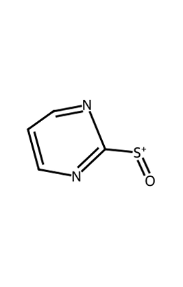 O=[S+]c1ncccn1